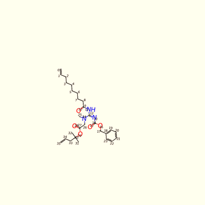 C=CCCCCCCCC(=O)N/C(=N/C(=O)OCc1ccccc1)N(C)CC(=O)OC(C)(C)CC=C